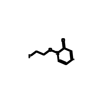 O=c1c[c]ccn1OCCF